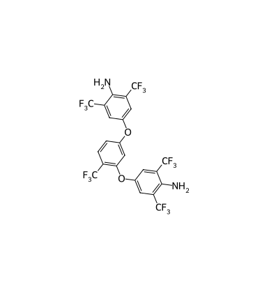 Nc1c(C(F)(F)F)cc(Oc2ccc(C(F)(F)F)c(Oc3cc(C(F)(F)F)c(N)c(C(F)(F)F)c3)c2)cc1C(F)(F)F